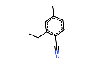 CCc1cc(C)ccc1C#N